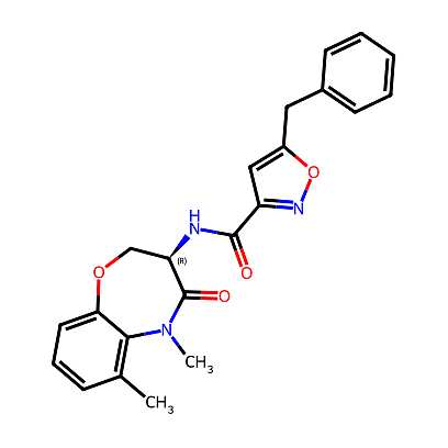 Cc1cccc2c1N(C)C(=O)[C@H](NC(=O)c1cc(Cc3ccccc3)on1)CO2